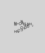 CC(Oc1cc(-n2cnc3cc(-c4cnn(C)c4)ccc32)sc1C(N)=O)c1cccc(C2CCNCC2)c1F